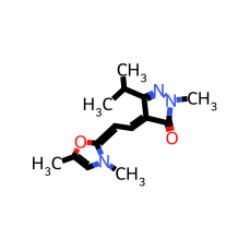 CC1=CN(C)/C(=C\C=C2\C(=O)N(C)N=C2C(C)C)O1